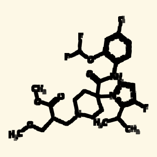 COCC(CN1CCC(C(=O)Nc2ccc(Cl)cc2OC(F)F)(n2ncc(F)c2C(C)C)CC1)C(=O)OC